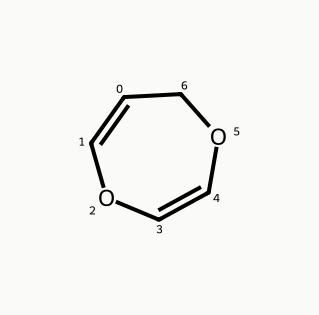 C1=COC=COC1